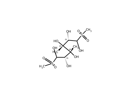 C[C@@](O)([C@H](O)C(O)S(C)(=O)=O)[C@](C)(O)[C@H](O)C(O)S(C)(=O)=O